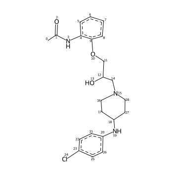 CC(=O)Nc1ccccc1OCC(O)CN1CCC(Nc2ccc(Cl)cc2)CC1